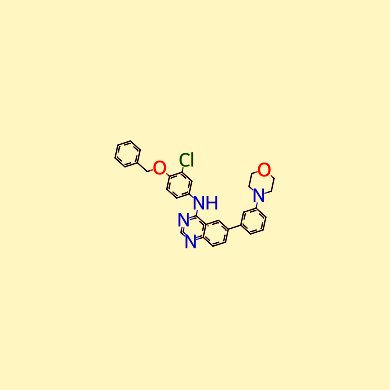 Clc1cc(Nc2ncnc3ccc(-c4cccc(N5CCOCC5)c4)cc23)ccc1OCc1ccccc1